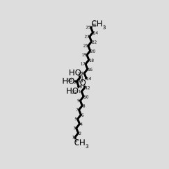 CCCCCCCCCCCCCOCCCCCCCCCCCCC.OCC(O)CO